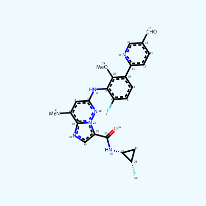 CNc1cc(Nc2c(F)ccc(-c3ccc(C=O)cn3)c2OC)nn2c(C(=O)N[C@@H]3C[C@@H]3F)cnc12